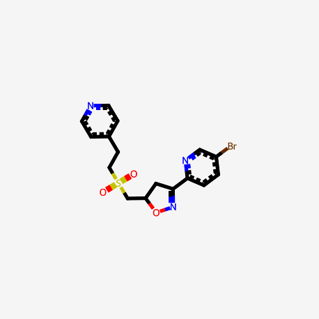 O=S(=O)(CCc1ccncc1)CC1CC(c2ccc(Br)cn2)=NO1